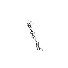 Cc1cc2sc(/C=C/c3ccc4c(c3)sc3c5ccc(/C=C/c6cc7sc(C)cc7s6)cc5sc43)cc2s1